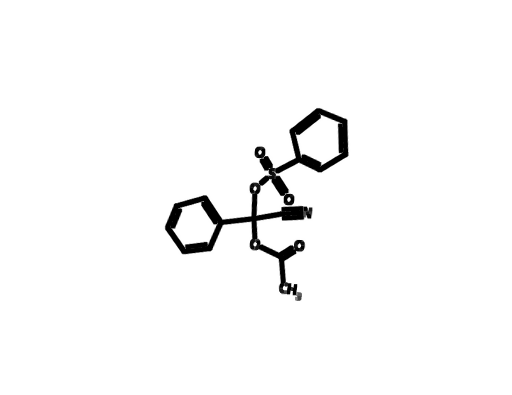 CC(=O)OC(C#N)(OS(=O)(=O)c1ccccc1)c1ccccc1